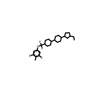 CCC1CCC(C2CCC(C3CCC(C(F)(F)Oc4cc(F)c(C)c(F)c4)CC3)CC2)C1